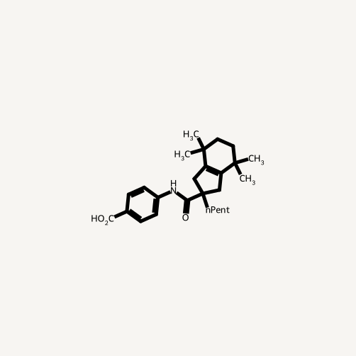 CCCCCC1(C(=O)Nc2ccc(C(=O)O)cc2)CC2=C(C1)C(C)(C)CCC2(C)C